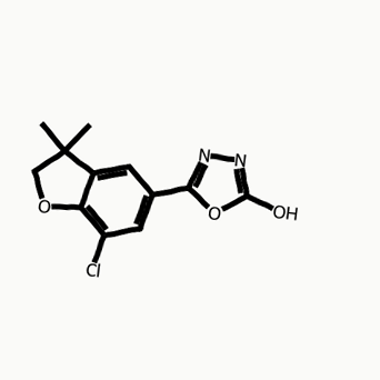 CC1(C)COc2c(Cl)cc(-c3nnc(O)o3)cc21